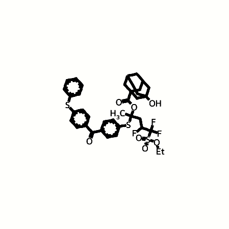 CCOS(=O)(=O)C(F)(F)C(F)CC(C)(OC(=O)C12CC3CC(CC(O)(C3)C1)C2)Sc1ccc(C(=O)c2ccc(Sc3ccccc3)cc2)cc1